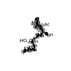 CCCC(=O)OCN(C(=O)C(NC(=O)[C@H]1CCCCN1C)[C@@H](C)CC)[C@H](C[C@@H](OC(C)=O)c1nc(C(=O)N[C@@H](Cc2ccc(O)cc2)C[C@H](C)C(=O)NNC(=O)OCCSSCC(NC(=O)CCC(=O)NCc2cc(C(=O)N[C@H](C)C(=O)N3CC(F)(F)C[C@H]3C#N)ccn2)C(=O)O)cs1)C(C)C